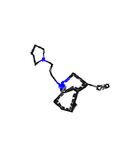 O=Cc1cn(CCN2CCCC2)c2ccccc12